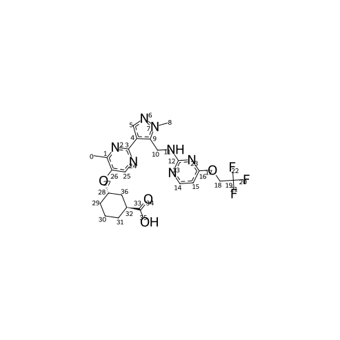 Cc1nc(-c2cnn(C)c2CNc2nccc(OCC(F)(F)F)n2)ncc1O[C@H]1CCC[C@H](C(=O)O)C1